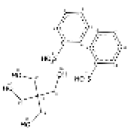 O=S(=O)(O)c1ccccc1.O=S(=O)(O)c1ccccc1.OCC(CO)(CO)CO